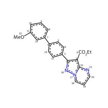 CCOC(=O)c1c(-c2ccc(-c3cccc(OC)c3)cc2)nn2cccnc12